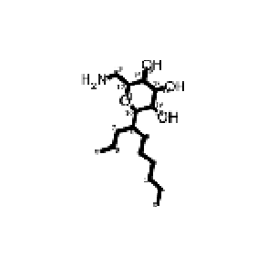 CCCCCCC(CCC)C1OC(CN)C(O)C(O)C1O